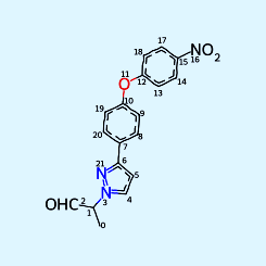 CC(C=O)n1ccc(-c2ccc(Oc3ccc([N+](=O)[O-])cc3)cc2)n1